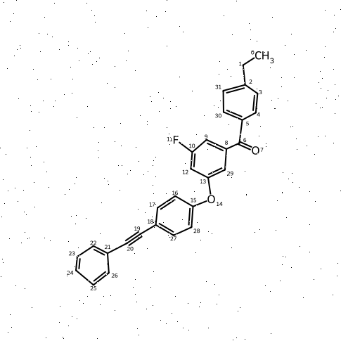 CCc1ccc(C(=O)c2cc(F)cc(Oc3ccc(C#Cc4ccccc4)cc3)c2)cc1